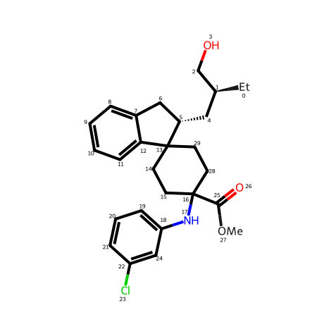 CC[C@H](CO)C[C@H]1Cc2ccccc2C12CCC(Nc1cccc(Cl)c1)(C(=O)OC)CC2